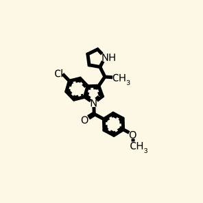 COc1ccc(C(=O)n2cc(C(C)C3CCCN3)c3cc(Cl)ccc32)cc1